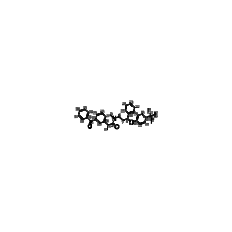 C[C@H](C(=O)N(C)CCC(Oc1ccc(C(F)(F)F)cc1)c1ccccc1)c1cccc(C(=O)c2ccccc2)c1